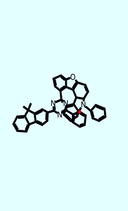 CC1(C)c2ccccc2-c2ccc(-c3nc(-c4ccccc4)nc(-c4cccc5oc6c(c45)C4c5ccccc5N(c5ccccc5)C4C=C6)n3)cc21